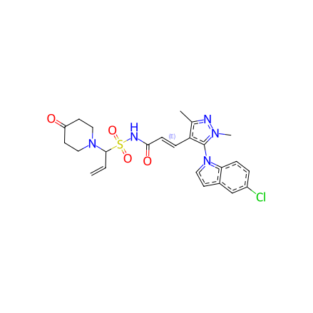 C=CC(N1CCC(=O)CC1)S(=O)(=O)NC(=O)/C=C/c1c(C)nn(C)c1-n1ccc2cc(Cl)ccc21